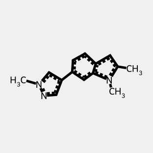 Cc1cc2ccc(-c3cnn(C)c3)cc2n1C